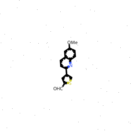 COc1ccc2nc(-c3csc(C=O)c3)ccc2c1